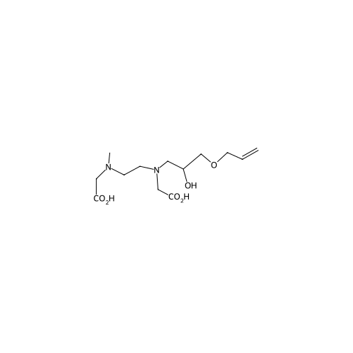 C=CCOCC(O)CN(CCN(C)CC(=O)O)CC(=O)O